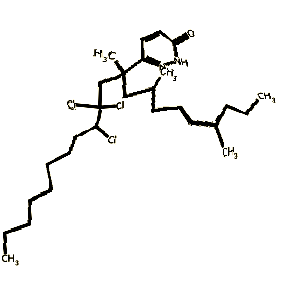 CCCCCCCCC(Cl)C(Cl)(Cl)CC(C)(CC(C)CCCC(C)CCC)c1ccc(=O)[nH]n1